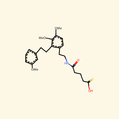 COc1cccc(CCc2c(CCNC(=O)CCCC(O)=S)ccc(OC)c2OC)c1